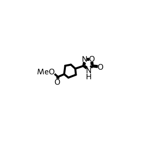 COC(=O)C1CCC(c2noc(=O)[nH]2)CC1